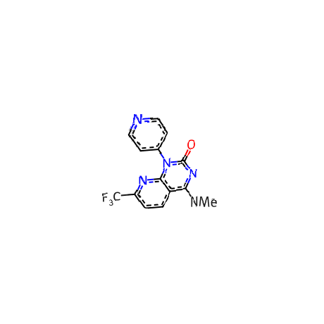 CNc1nc(=O)n(-c2ccncc2)c2nc(C(F)(F)F)ccc12